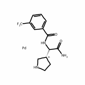 NC(=O)C(NC(=O)c1cccc(C(F)(F)F)c1)[C@@H]1CCNC1.[Pd]